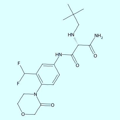 CC(C)(C)CN[C@H](C(N)=O)C(=O)Nc1ccc(N2CCOCC2=O)c(C(F)F)c1